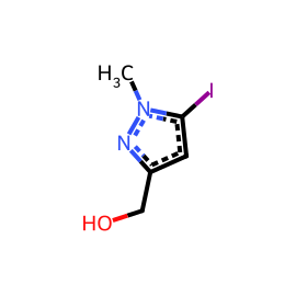 Cn1nc(CO)cc1I